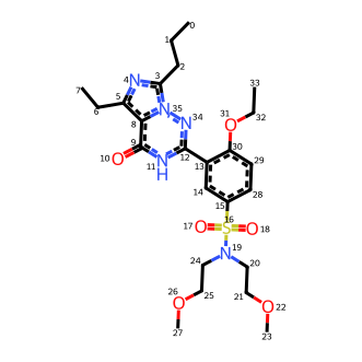 CCCc1nc(CC)c2c(=O)[nH]c(-c3cc(S(=O)(=O)N(CCOC)CCOC)ccc3OCC)nn12